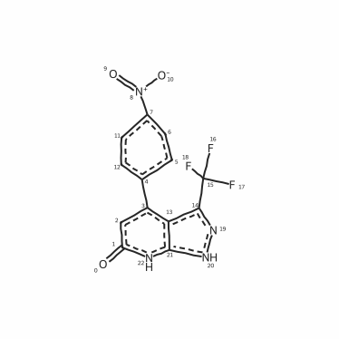 O=c1cc(-c2ccc([N+](=O)[O-])cc2)c2c(C(F)(F)F)n[nH]c2[nH]1